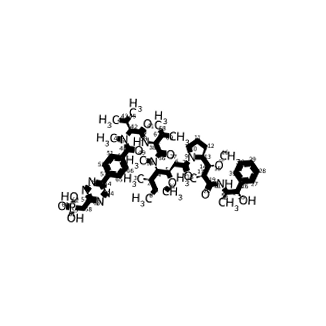 CC[C@H](C)[C@@H]([C@@H](CC(=O)N1CCC[C@H]1[C@H](OC)[C@@H](C)C(=O)N[C@H](C)[C@@H](O)c1ccccc1)OC)N(C)C(=O)[C@@H](NC(=O)[C@H](C(C)C)N(C)C(=O)c1ccc(-c2nnc(CP(=O)(O)O)nn2)cc1)C(C)C